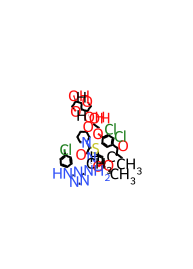 C=C(CC)C(=O)c1ccc(OCC(=O)O)c(Cl)c1Cl.CCOC(=O)/C=C1/SC(N2CCCCC2)C(=O)N1C.Nc1ncnc(Nc2ccc(Cl)cc2)n1.O[C@@H]1CO[C@H]2[C@@H]1OC[C@@H]2O